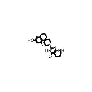 O=c1[nH]c(N2CCC3(CCCc4cc(O)cc(F)c43)CC2)nc2c1CCCN2